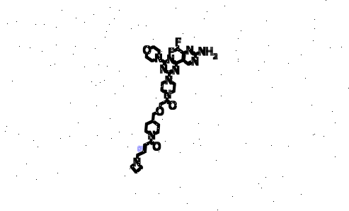 Nc1ncc(-c2nc(N3CCOCC3)nc(N3CCN(C(=O)COCC4CCN(C(=O)/C=C/CN5CCC5)CC4)CC3)n2)c(C(F)F)n1